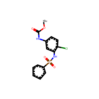 CC(C)(C)OC(=O)Nc1ccc(Cl)c(NS(=O)(=O)c2ccccc2)c1